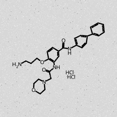 Cl.Cl.NCCCOc1ccc(C(=O)Nc2ccc(-c3ccccc3)cc2)cc1NC(=O)CN1CCOCC1